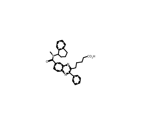 CN(C(=O)c1ccc2nc(-c3ccccc3)c(CCCCC(=O)O)nc2c1)C1CCCc2ccccc21